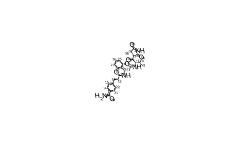 CC(C)[C@H](NC(=O)C[C@H](NC(=O)/C=C/c1ccc(C(N)=O)cc1)c1ccccc1)C(=O)[C@@H]1C(=O)NC(=O)[C@H]1C